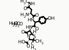 CNC(=O)C[C@@H](N)C(=O)NC(C(=O)N[C@@H]1C(=O)N2[C@@H]1SC(C)(C)[C@@H]2C(=O)O)c1ccc(O)cc1.O.O.O